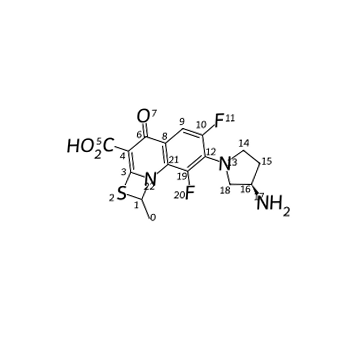 CC1Sc2c(C(=O)O)c(=O)c3cc(F)c(N4CC[C@@H](N)C4)c(F)c3n21